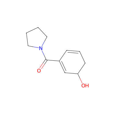 O=C(C1=CC(O)CC=C1)N1CCCC1